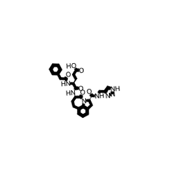 O=C(O)CC[C@H](NC(=O)Cc1ccccc1)C(=O)N[C@H]1CCc2cccc3c2N(C1=O)[C@H](C(=O)NCc1c[nH]nn1)C3